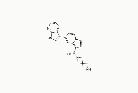 O=C(c1cnn2ccc(-c3c[nH]c4ncccc34)cc12)N1CC2(CNC2)C1